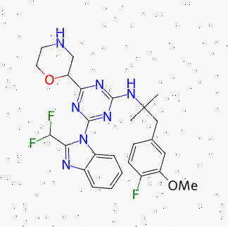 COc1cc(CC(C)(C)Nc2nc(C3CNCCO3)nc(-n3c(C(F)F)nc4ccccc43)n2)ccc1F